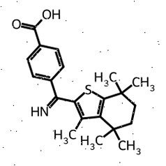 Cc1c(C(=N)c2ccc(C(=O)O)cc2)sc2c1C(C)(C)CCC2(C)C